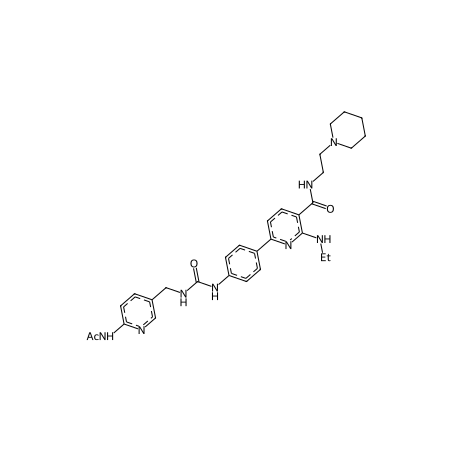 CCNc1nc(-c2ccc(NC(=O)NCc3ccc(NC(C)=O)nc3)cc2)ccc1C(=O)NCCN1CCCCC1